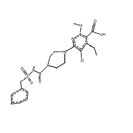 CCc1c(Cl)c(N2CCC(C(=O)NS(=O)(=O)Cc3ccccc3)CC2)nc(SC)c1C(=O)O